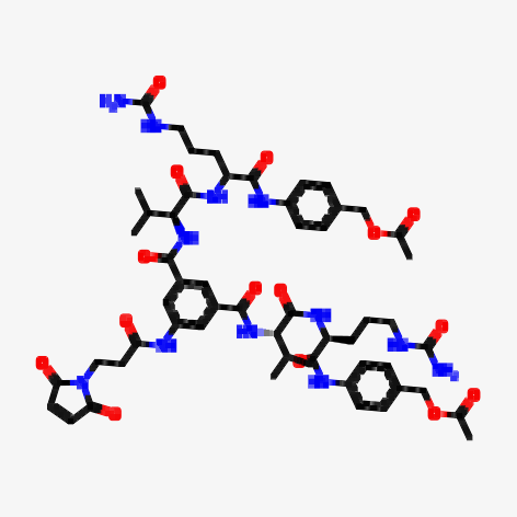 CC(=O)OCc1ccc(NC(=O)C(CCCNC(N)=O)NC(=O)[C@@H](NC(=O)c2cc(NC(=O)CCN3C(=O)C=CC3=O)cc(C(=O)N[C@H](C(=O)N[C@@H](CCCNC(N)=O)C(=O)Nc3ccc(COC(C)=O)cc3)C(C)C)c2)C(C)C)cc1